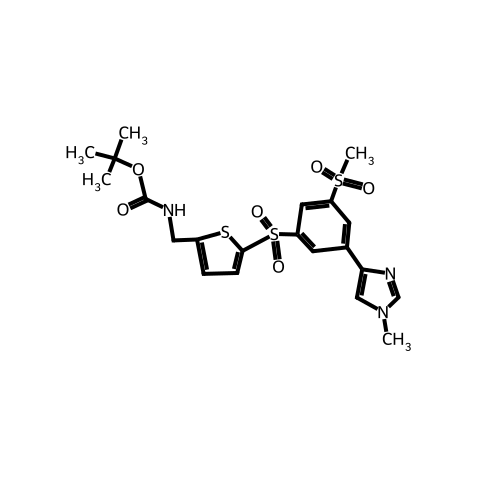 Cn1cnc(-c2cc(S(C)(=O)=O)cc(S(=O)(=O)c3ccc(CNC(=O)OC(C)(C)C)s3)c2)c1